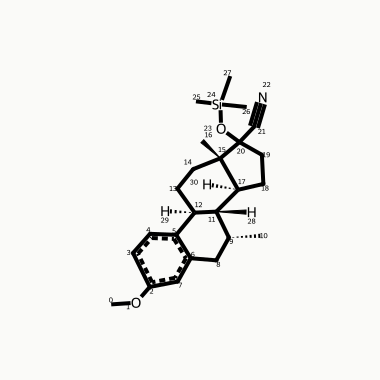 COc1ccc2c(c1)C[C@@H](C)[C@@H]1[C@@H]2CC[C@@]2(C)[C@H]1CCC2(C#N)O[Si](C)(C)C